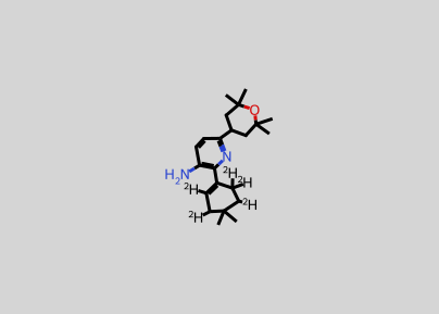 [2H]C1=C(c2nc(C3CC(C)(C)OC(C)(C)C3)ccc2N)C([2H])([2H])C([2H])C(C)(C)C1[2H]